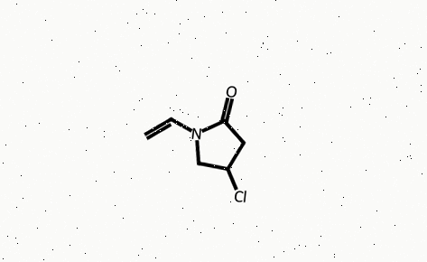 C=CN1CC(Cl)CC1=O